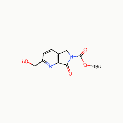 CC(C)(C)OC(=O)N1Cc2ccc(CO)nc2C1=O